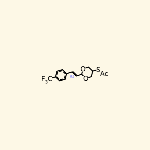 CC(=O)SC1COC(/C=C/c2ccc(C(F)(F)F)cc2)OC1